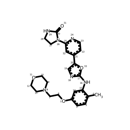 Cc1ccc(OCCN2CCOCC2)cc1Nc1ncc(-c2ccnc(N3CCNC3=O)c2)o1